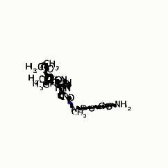 Cc1c(CC(=O)N(C)C)ccc(NC(=O)c2nn([C@@H]3CCCN(C(=O)/C=C/CN(C)CCOCCOCCOCCOCCN)C3)c3ncnc(N)c23)c1C